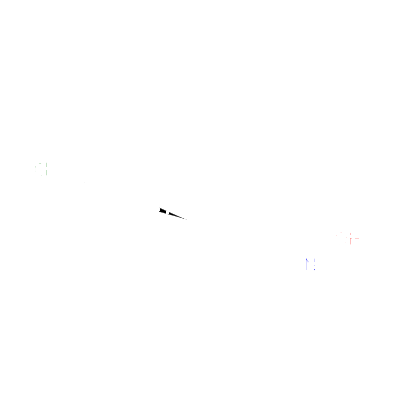 Cc1cc([C@@H]2CC/C(=N/O)c3ccccc32)ccc1Cl